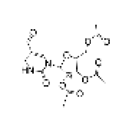 CC(=O)OCC1OC(N2C=C(C=O)CNC2=O)[C@@H](OC(C)=O)C1OC(C)=O